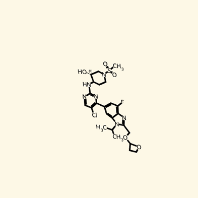 CC(C)n1c(COC2CCO2)nc2c(F)cc(-c3nc(NC4CCN(S(C)(=O)=O)C[C@H]4O)ncc3Cl)cc21